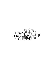 CCCC1=C(O)C2=C(CC1)C(C)C1C(=C(O)C3(O)C(=O)C(C(N)=O)=C(O)CC3C1O)C2O